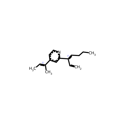 C=C/C(=C\CCC)c1cc(/C(C)=C/C)ccn1